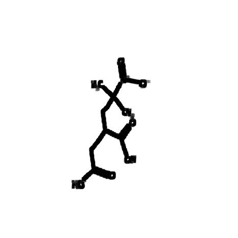 CC(C)(CC(CC(=O)O)C(=O)O)[N+](=O)[O-]